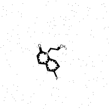 C=CCn1c(=O)ccc2cc(F)ccc21